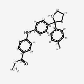 COC(=O)c1ccc(Nc2ccc(C3(c4ccc(F)cc4)CCCO3)cc2)cc1